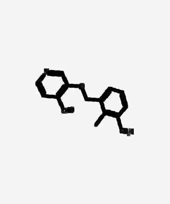 Cc1c(COc2cnccc2C=O)cccc1C(=O)O